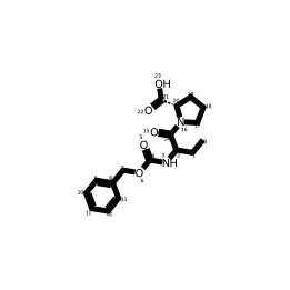 CCC(NC(=O)OCc1ccccc1)C(=O)N1CCC[C@H]1C(=O)O